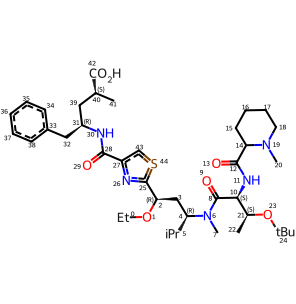 CCO[C@H](C[C@H](C(C)C)N(C)C(=O)[C@@H](NC(=O)C1CCCCN1C)[C@H](C)OC(C)(C)C)c1nc(C(=O)N[C@@H](Cc2ccccc2)C[C@H](C)C(=O)O)cs1